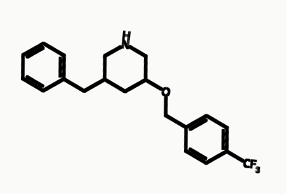 FC(F)(F)c1ccc(COC2CNCC(Cc3ccccc3)C2)cc1